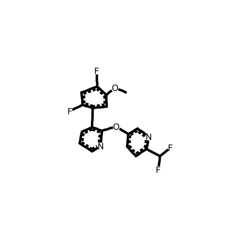 COc1cc(-c2cccnc2Oc2ccc(C(F)F)nc2)c(F)cc1F